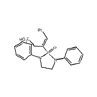 CC(C)C=C(CC(=O)O)P1(=O)N(c2ccccc2)CCN1c1ccccc1